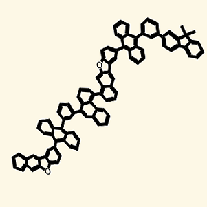 CC1(C)c2ccccc2-c2ccc(-c3cccc(-c4c5ccccc5c(-c5ccc6oc7cc8c(-c9cccc%10c(-c%11cccc(-c%12c%13ccccc%13c(-c%13ccc%14oc%15cc%16ccccc%16cc%15c%14c%13)c%13ccccc%12%13)c%11)cc%11ccccc%11c9%10)cccc8cc7c6c5)c5ccccc45)c3)cc21